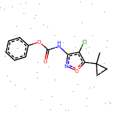 CC1(c2onc(NC(=O)Oc3ccccc3)c2Cl)CC1